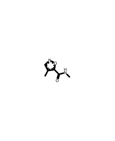 CNC(=O)c1oncc1C